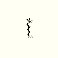 CCCCCCC=CC[SiH](C)Cl